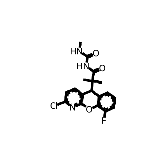 CNC(=O)NC(=O)C(C)(C)C1c2ccc(Cl)nc2Oc2c(F)cccc21